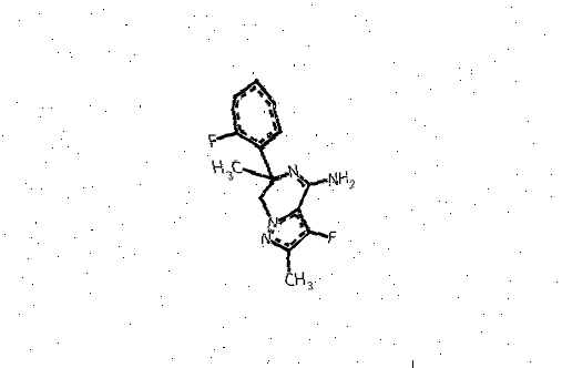 Cc1nn2c(c1F)C(N)=NC(C)(c1c[c]ccc1F)C2